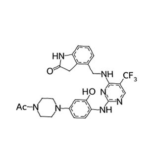 CC(=O)N1CCN(c2ccc(Nc3ncc(C(F)(F)F)c(NCc4cccc5c4CC(=O)N5)n3)c(O)c2)CC1